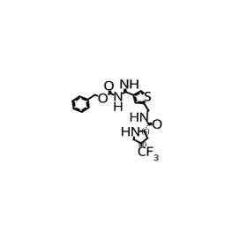 N=C(NC(=O)OCc1ccccc1)c1csc(CNC(=O)[C@@H]2C[C@@H](C(F)(F)F)CN2)c1